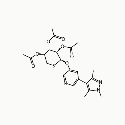 CC(=O)O[C@@H]1[C@@H](OC(C)=O)[C@@H](Oc2cncc(-c3c(C)nn(C)c3C)c2)SC[C@H]1OC(C)=O